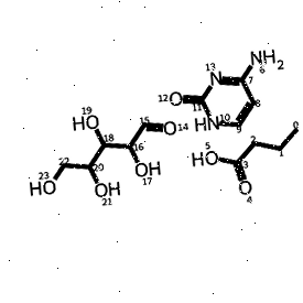 CCCC(=O)O.Nc1cc[nH]c(=O)n1.O=CC(O)C(O)C(O)CO